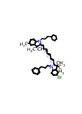 Cc1ccc2c(c1)C(C)(C)\C(=C/C=C/C=C/C=C/C1=[N+](CCCc3ccccc3)c3ccc(Br)cc3C1(C)C)N2CCCc1ccccc1